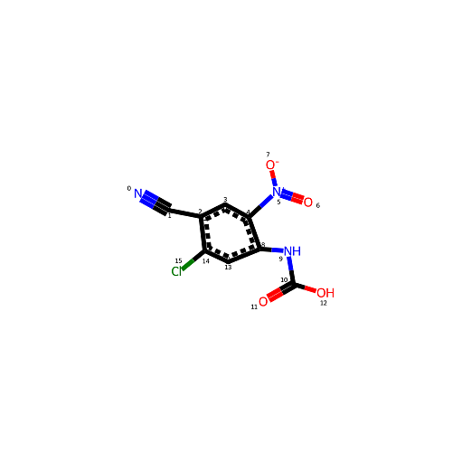 N#Cc1cc([N+](=O)[O-])c(NC(=O)O)cc1Cl